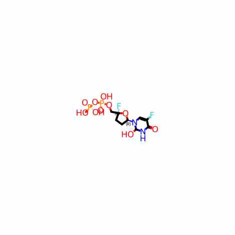 O=C1NC(O)N([C@H]2CC[C@@](F)(COP(=O)(O)OP(=O)(O)O)O2)C=C1F